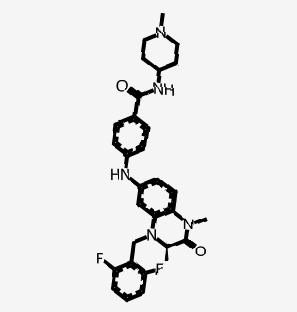 C[C@@H]1C(=O)N(C)c2ccc(Nc3ccc(C(=O)NC4CCN(C)CC4)cc3)cc2N1Cc1c(F)cccc1F